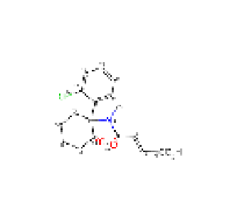 CN(C(=O)C=CC(=O)O)C1(c2ccccc2Cl)CCCCC1=O